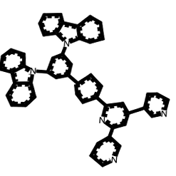 c1cncc(-c2cc(-c3ccc(-c4cc(-n5c6ccccc6c6ccccc65)cc(-n5c6ccccc6c6ccccc65)c4)cc3)nc(-c3cccnc3)c2)c1